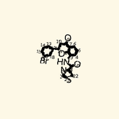 O=C(Nc1cccc2c(=O)cc(-c3cccc(Br)c3)oc12)c1cscn1